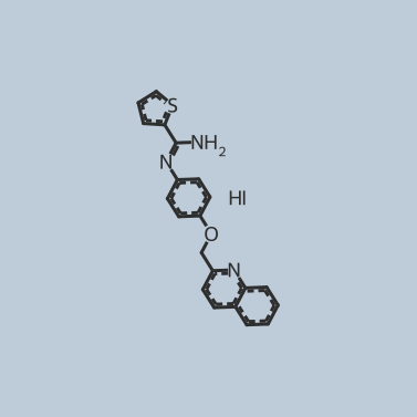 I.N/C(=N\c1ccc(OCc2ccc3ccccc3n2)cc1)c1cccs1